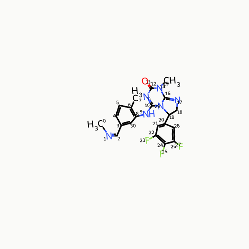 C/N=C\c1ccc(C)c(NC2=NC(=O)N(C)C3=NCC(c4cc(F)c(F)c(F)c4)N23)c1